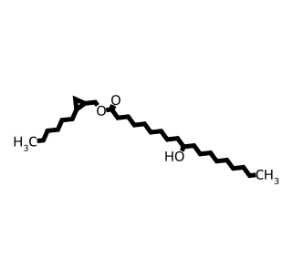 CCCCCCCCCC(O)CCCCCCCCC(=O)OCC1CC1CCCCCC